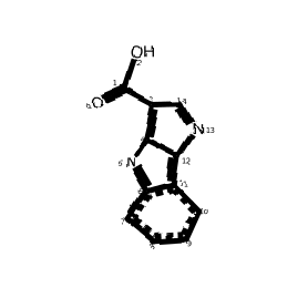 O=C(O)C1=C2N=c3ccccc3=C2N=C1